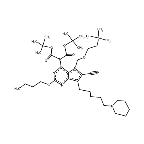 CCCCOc1nc(N(C(=O)OC(C)(C)C)C(=O)OC(C)(C)C)c2c(n1)c(CCCCCN1CCCCC1)c(C#N)n2COCC[Si](C)(C)C